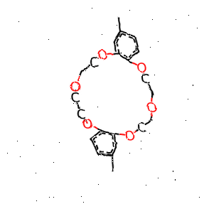 Cc1ccc2c(c1)OCCOCCOc1ccc(C)cc1OCCOCCO2